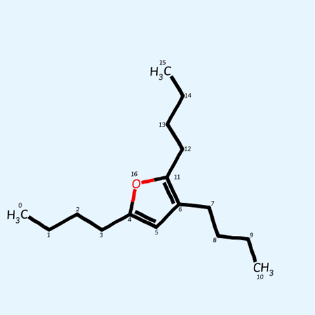 CCCCc1cc(CCCC)c(CCCC)o1